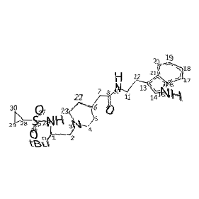 CC(C)(C)C(CN1CCC(CC(=O)NCCc2c[nH]c3ccccc23)CC1)NS(=O)(=O)C1CC1